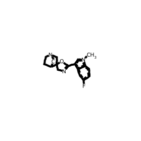 Cn1cc(C2=NCC3(CN4CCC3CC4)O2)c2cc(F)ccc21